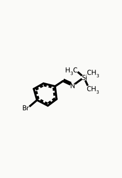 C[Si](C)(C)/N=C/c1ccc(Br)cc1